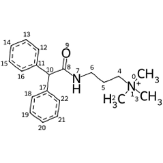 C[N+](C)(C)CCCNC(=O)C(c1ccccc1)c1ccccc1